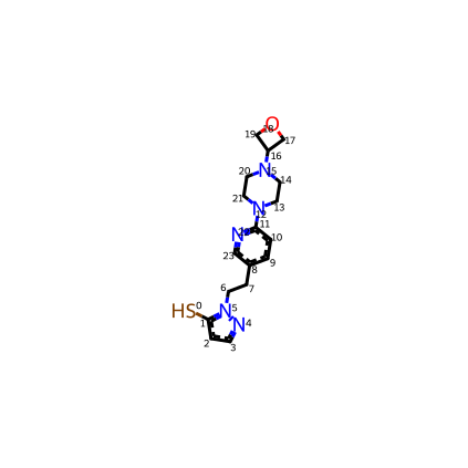 Sc1ccnn1CCc1ccc(N2CCN(C3COC3)CC2)nc1